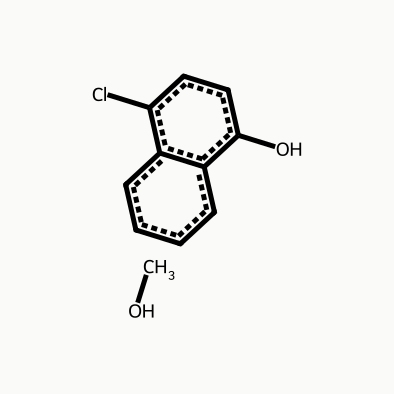 CO.Oc1ccc(Cl)c2ccccc12